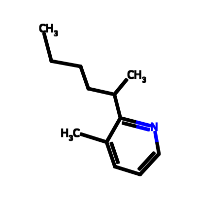 CCCCC(C)c1ncccc1C